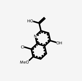 C=C(O)c1cc(O)c2ccc(OC)c(Cl)c2n1